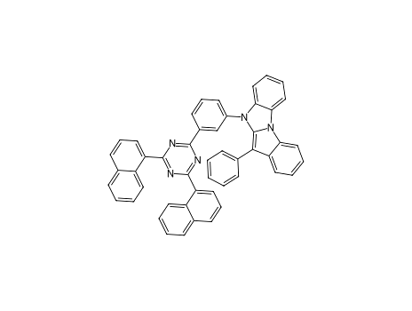 c1ccc(-c2c3ccccc3n3c4ccccc4n(-c4cccc(-c5nc(-c6cccc7ccccc67)nc(-c6cccc7ccccc67)n5)c4)c23)cc1